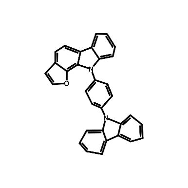 c1ccc2c(c1)c1ccccc1n2-c1ccc(-n2c3ccccc3c3ccc4ccoc4c32)cc1